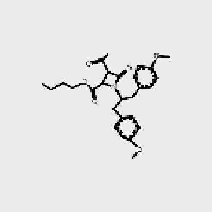 CCCCOC(=O)C1C(C(C)=O)C(=O)N1C(Cc1ccc(OC)cc1)Cc1ccc(OC)cc1